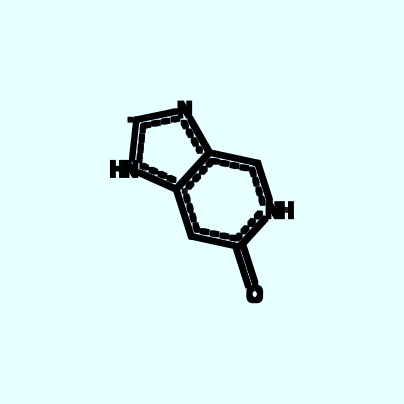 O=c1cc2[nH][c]nc2c[nH]1